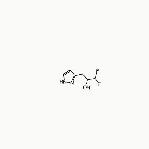 OC(Cc1cc[nH]n1)C(F)F